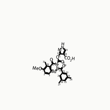 COc1cccc(C(=O)N(C(=O)Oc2n[nH]cc2C(=O)O)N(C(=O)c2cc(C)cc(C)c2)C(C)(C)C)c1C